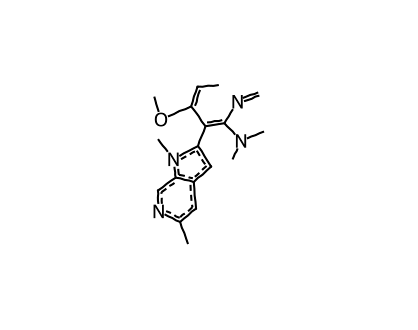 C=N/C(=C(\C(=C/C)OC)c1cc2cc(C)ncc2n1C)N(C)C